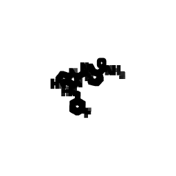 NC(=O)c1cccn2c(-c3nc4c(c(NCc5cccc(F)c5)n3)NCC4)ncc12